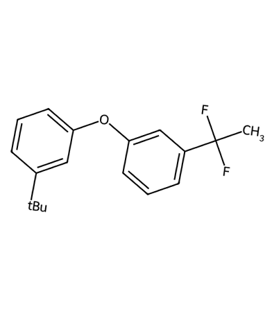 CC(C)(C)c1cccc(Oc2cccc(C(C)(F)F)c2)c1